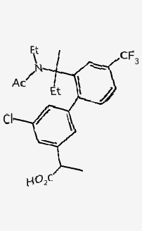 CCN(C(C)=O)C(C)(CC)c1cc(C(F)(F)F)ccc1-c1cc(Cl)cc(C(C)C(=O)O)c1